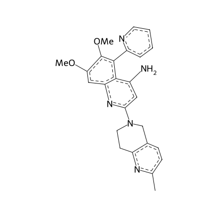 COc1cc2nc(N3CCc4nc(C)ccc4C3)cc(N)c2c(-c2ccccn2)c1OC